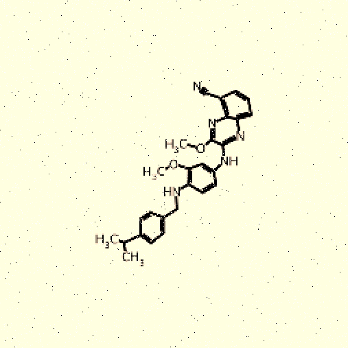 COc1cc(Nc2nc3cccc(C#N)c3nc2OC)ccc1NCc1ccc(C(C)C)cc1